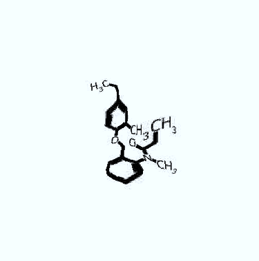 CCC(=O)N(C)c1ccccc1COc1ccc(CC)cc1C